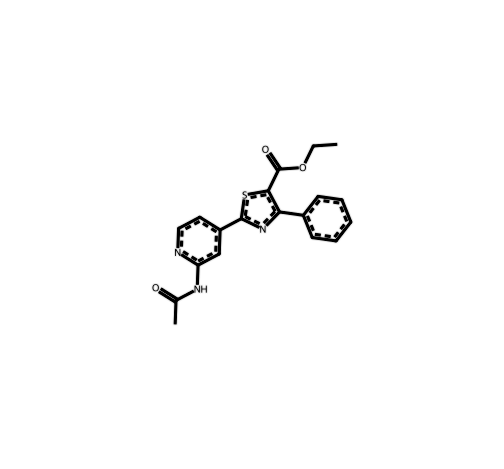 CCOC(=O)c1sc(-c2ccnc(NC(C)=O)c2)nc1-c1ccccc1